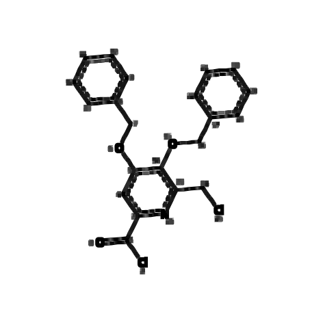 O=C(Cl)c1cc(OCc2ccccc2)c(OCc2ccccc2)c(CCl)n1